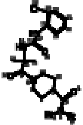 CCN(CC)C(=O)C1CCN(C(=O)C(C)(C)NC(=O)Nc2ccccc2Cl)CC1